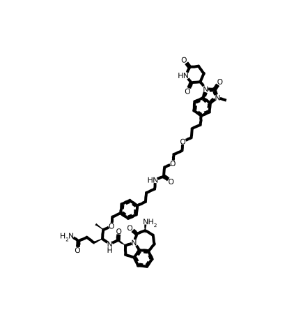 C[C@@H](OCc1ccc(CCCNC(=O)COCCOCCCc2ccc3c(c2)n(C)c(=O)n3C2CCC(=O)NC2=O)cc1)[C@H](CCC(N)=O)NC(=O)[C@@H]1Cc2cccc3c2N1C(=O)[C@@H](N)CC3